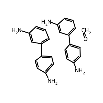 C=O.Nc1ccc(-c2cccc(N)c2)cc1.Nc1ccc(-c2cccc(N)c2)cc1